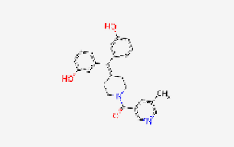 Cc1cncc(C(=O)N2CCC(=C(c3cccc(O)c3)c3cccc(O)c3)CC2)c1